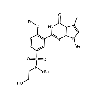 CCCCN(CCO)S(=O)(=O)c1ccc(OCC)c(-c2nc3c(c(C)cn3CCC)c(=O)[nH]2)c1